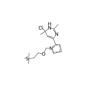 CC1=NC(c2cccn2COCC[Si](C)(C)C)=CC(C)(Cl)N1